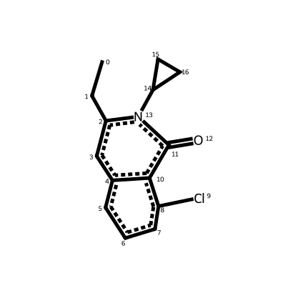 CCc1cc2cccc(Cl)c2c(=O)n1C1CC1